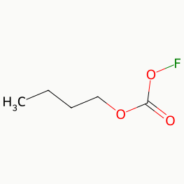 CCCCOC(=O)OF